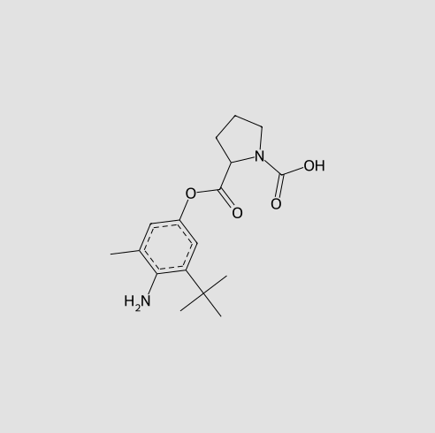 Cc1cc(OC(=O)C2CCCN2C(=O)O)cc(C(C)(C)C)c1N